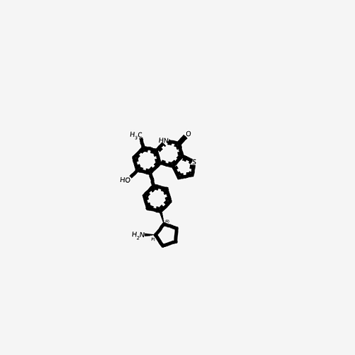 Cc1cc(O)c(-c2ccc([C@H]3CCC[C@H]3N)cc2)c2c1[nH]c(=O)c1sccc12